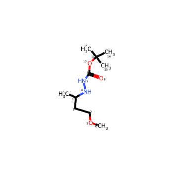 COCCC(C)NNC(=O)OC(C)(C)C